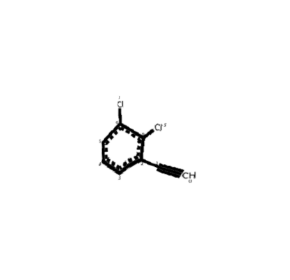 C#Cc1cccc(Cl)c1Cl